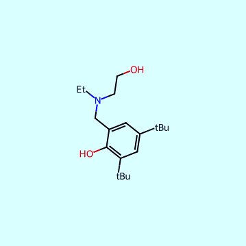 CCN(CCO)Cc1cc(C(C)(C)C)cc(C(C)(C)C)c1O